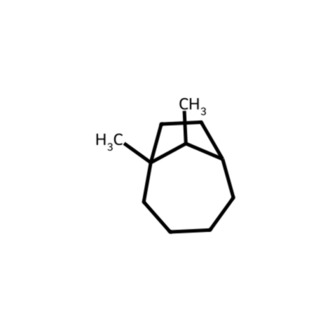 CC1C2CCCCC1(C)CC2